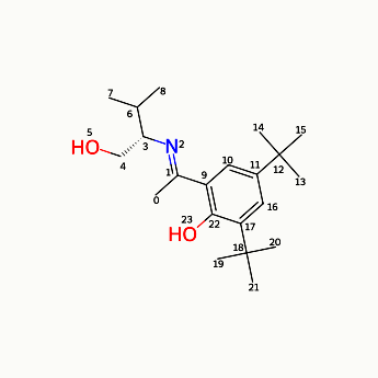 C/C(=N\[C@H](CO)C(C)C)c1cc(C(C)(C)C)cc(C(C)(C)C)c1O